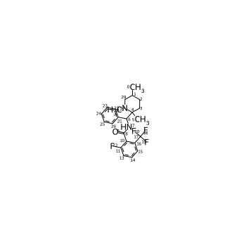 CC1CCC(C)(C(NC(=O)c2c(F)cccc2C(F)(F)F)c2ccccc2)N(C)C1